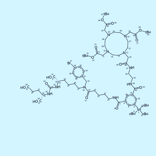 CCC[CH2][Sn]([CH2]CCC)([CH2]CCC)[c]1cc(C(=O)NCCCCC(=O)N(CCCC[C@H](NC(=O)N[C@@H](CCC(=O)O)C(=O)O)C(=O)O)Cc2ccc(Br)cc2)cc(C(=O)NCCNC(=O)CN2CCN(CC(=O)OC(C)(C)C)CCN(CC(=O)OC(C)(C)C)CCN(CC(=O)OC(C)(C)C)CC2)c1